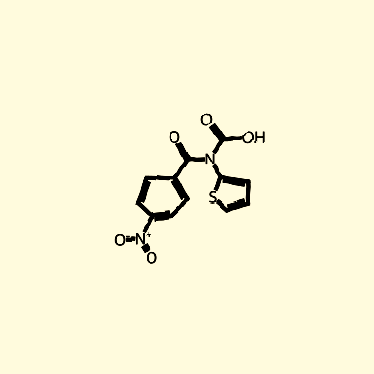 O=C(O)N(C(=O)c1ccc([N+](=O)[O-])cc1)c1cccs1